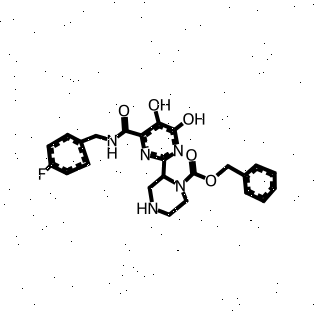 O=C(NCc1ccc(F)cc1)c1nc(C2CNCCN2C(=O)OCc2ccccc2)nc(O)c1O